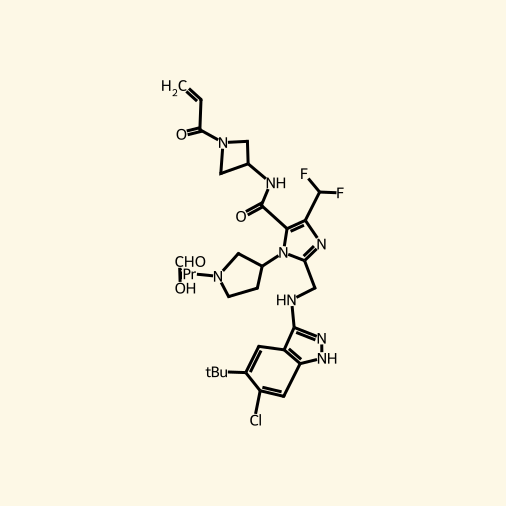 C=CC(=O)N1CC(NC(=O)c2c(C(F)F)nc(CNc3n[nH]c4cc(Cl)c(C(C)(C)C)cc34)n2C2CCN(C(C)C)C2)C1.O=CO